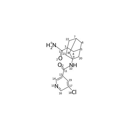 NC(=O)C12CC3CC(CC(NC(=O)c4cncc(Cl)c4)(C3)C1)C2